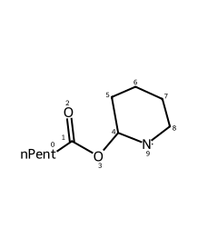 CCCCCC(=O)OC1CCCC[N]1